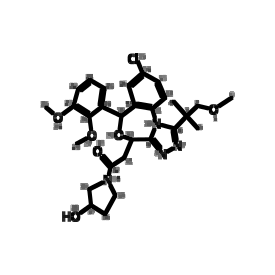 COCC(C)(C)c1nnc2n1-c1ccc(Cl)cc1C(c1cccc(OC)c1OC)OC2CC(=O)N1CCC(O)C1